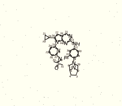 CN1C2CCC1CN(c1ccc(Nc3ncc4cc(C5CC5)n(-c5cccc(N=S(C)(C)=O)n5)c4n3)cc1F)C2